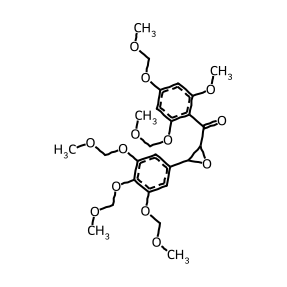 COCOc1cc(OC)c(C(=O)C2OC2c2cc(OCOC)c(OCOC)c(OCOC)c2)c(OCOC)c1